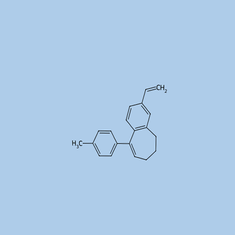 C=Cc1ccc2c(c1)CCCC=C2c1ccc(C)cc1